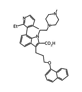 CCc1nccc(C)c1-c1cccc2c(CCCOc3cccc4ccccc34)c(C(=O)O)n(CCN3CCN(C)CC3)c12